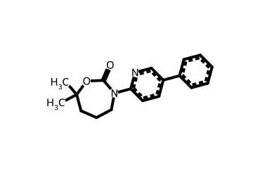 CC1(C)CCCN(c2ccc(-c3ccccc3)cn2)C(=O)O1